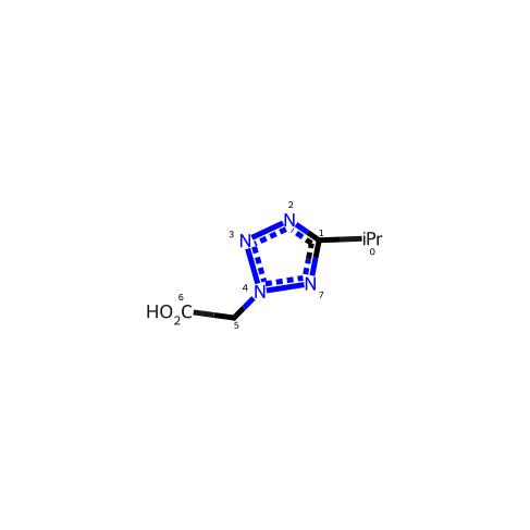 CC(C)c1nnn(CC(=O)O)n1